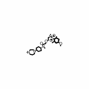 COc1cc(C)c(S(=O)(=O)N(C)CCOCC(=O)N(C)[C@H]2CC[C@H](N3CCCN(C)CC3)CC2)c(C)c1